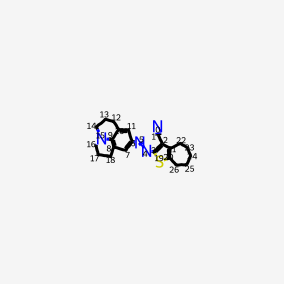 N#Cc1c(N=Nc2cc3c4c(c2)CCCN4CCC3)sc2c1CCCCC2